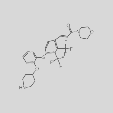 O=C(C=Cc1ccc(Sc2ccccc2OC2CCNCC2)c(C(F)(F)F)c1C(F)(F)F)N1CCOCC1